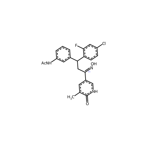 CC(=O)Nc1cccc(C(C/C(=N\O)c2c[nH]c(=O)c(C)c2)c2ccc(Cl)cc2F)c1